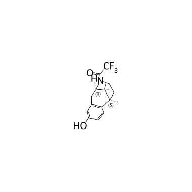 CC1(C)[C@H]2Cc3cc(O)ccc3[C@]1(C)CCN2C(=O)C(F)(F)F